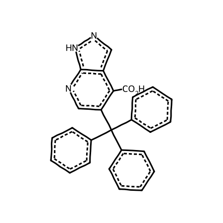 O=C(O)c1c(C(c2ccccc2)(c2ccccc2)c2ccccc2)cnc2[nH]ncc12